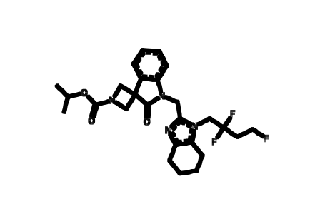 CC(C)OC(=O)N1CC2(C1)C(=O)N(Cc1nc3c(n1CC(F)(F)CCF)CCCC3)c1ccccc12